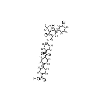 CC(C)(C)OC(=O)N(CCc1ccc(S(=O)(=O)c2ccc(-c3ccc(C(=O)O)cc3)cc2)cc1)C[C@H](O)c1cccc(Cl)c1